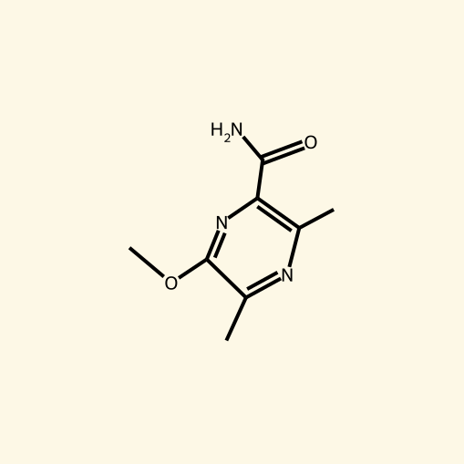 COc1nc(C(N)=O)c(C)nc1C